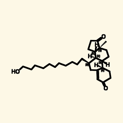 C[C@]12CC[C@H]3[C@@H]([C@H](CCCCCCCCCCCO)CC4=CC(=O)CC[C@@H]43)[C@@H]1CCC2=O